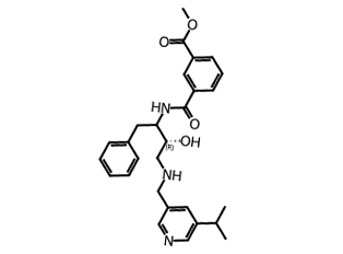 COC(=O)c1cccc(C(=O)NC(Cc2ccccc2)[C@H](O)CNCc2cncc(C(C)C)c2)c1